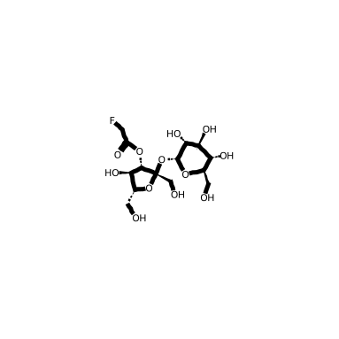 O=C(CF)O[C@H]1[C@H](O)[C@@H](CO)O[C@@]1(CO)O[C@H]1O[C@H](CO)[C@@H](O)[C@H](O)[C@H]1O